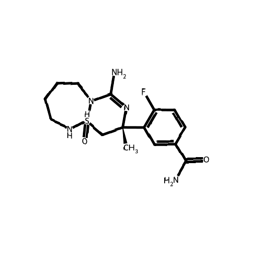 C[C@@]1(c2cc(C(N)=O)ccc2F)C[SH]2(=O)NCCCCN2C(N)=N1